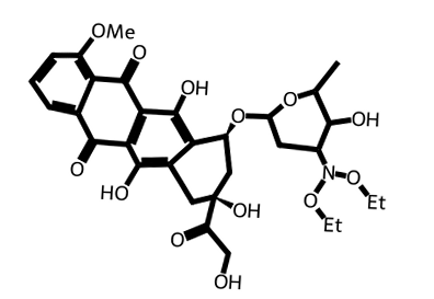 CCON(OCC)C1CC(O[C@H]2C[C@](O)(C(=O)CO)Cc3c(O)c4c(c(O)c32)C(=O)c2c(OC)cccc2C4=O)OC(C)C1O